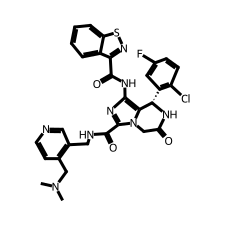 CN(C)Cc1ccncc1CNC(=O)c1nc(NC(=O)c2nsc3ccccc23)c2n1CC(=O)N[C@H]2c1cc(F)ccc1Cl